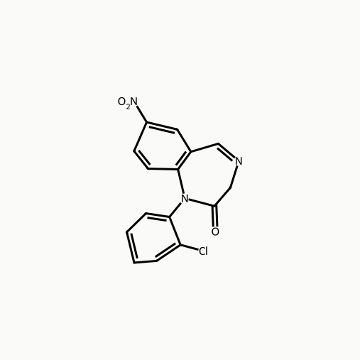 O=C1CN=Cc2cc([N+](=O)[O-])ccc2N1c1ccccc1Cl